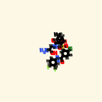 C[C@H]1C2CC(S(=O)(=O)c3cc(C(=O)Nc4ccc(F)c(F)c4)ccc3Cl)CC1[C@@]2(O)CC(=O)NC[C@@H](N)O